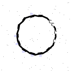 [C]1=C\C=C/C=C\C=C/C=C\C=C/C=CC=C/C=C\C=CCCCCCCCC1